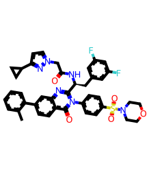 Cc1ccccc1-c1ccc2c(=O)n(-c3ccc(S(=O)(=O)N4CCOCC4)cc3)c([C@H](Cc3cc(F)cc(F)c3)NC(=O)Cn3ccc(C4CC4)n3)nc2c1